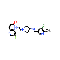 Cc1ncc(CNC2CCN(CCn3c(=O)ccc4ncc(F)cc43)CC2)cc1Cl